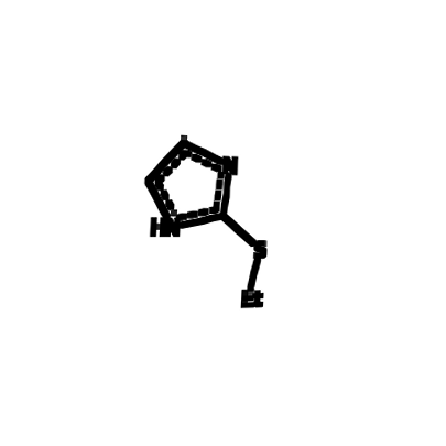 CCSc1n[c]c[nH]1